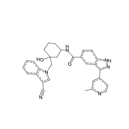 Cc1cc(-c2n[nH]c3ccc(C(=O)NC4CCCC(O)(Cn5cc(C#N)c6ccccc65)C4)cc23)ccn1